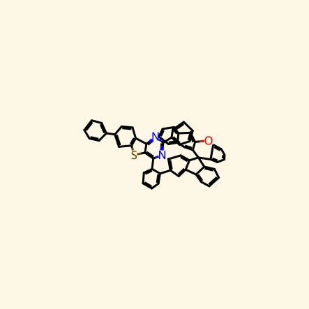 c1ccc(-c2ccc3c(c2)sc2c(-c4ccccc4-c4ccc5c(c4)-c4ccccc4C54c5ccccc5Oc5cc6ccccc6cc54)nc(-c4ccccc4)nc23)cc1